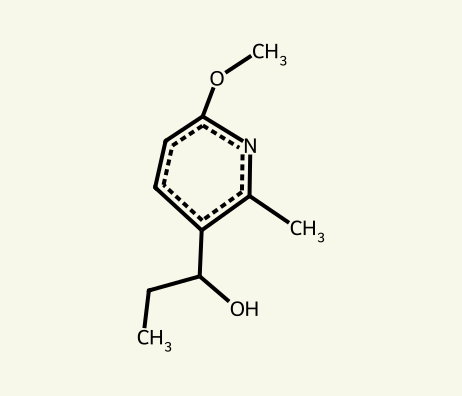 CCC(O)c1ccc(OC)nc1C